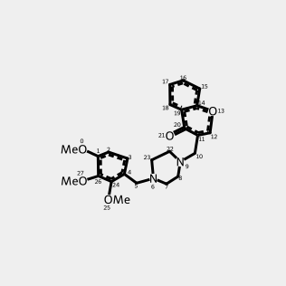 COc1ccc(CN2CCN(Cc3coc4ccccc4c3=O)CC2)c(OC)c1OC